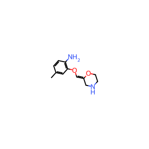 Cc1ccc(N)c(OC=C2CNCCO2)c1